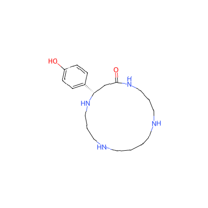 O=C1C[C@@H](c2ccc(O)cc2)NCCCNCCCCNCCCN1